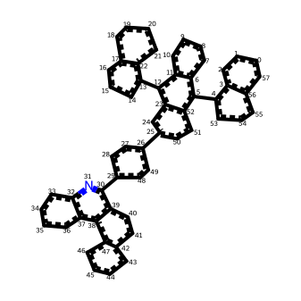 c1ccc2c(-c3c4ccccc4c(-c4cccc5ccccc45)c4cc(-c5ccc(-c6nc7ccccc7c7c6ccc6ccccc67)cc5)ccc34)cccc2c1